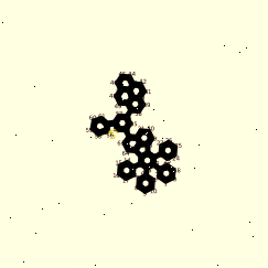 c1ccc(-c2c(-c3ccccc3)c(-c3ccccc3)c3c(c2-c2ccccc2)-c2cccc4c(-c5cc(-c6ccc7ccc8cccc9ccc6c7c89)cc6c5sc5ccccc56)ccc-3c24)cc1